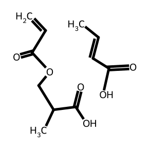 C=CC(=O)OCC(C)C(=O)O.CC=CC(=O)O